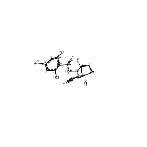 N#CN1[C@H]2CC[C@@H]1[C@H](NC(=O)c1c(Cl)cc(Br)cc1Cl)C2